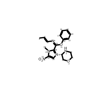 C1COCCN1.CC=CN=C(Oc1ccccc1)c1ncc([N+](=O)[O-])n1C